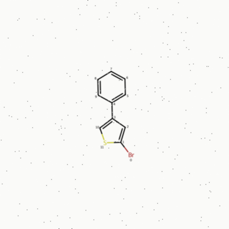 Brc1cc(-c2ccccc2)[c]s1